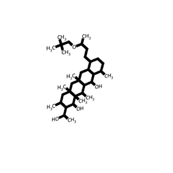 CC(CCC1CCC(C)C2C(O)C3C(C)C4(C)C(O)C(C(C)O)C(C)CC4(C)CC3(C)CC12)OCC(C)(C)C